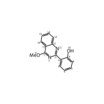 COc1nc(-c2ccccc2O)nc2ccccc12